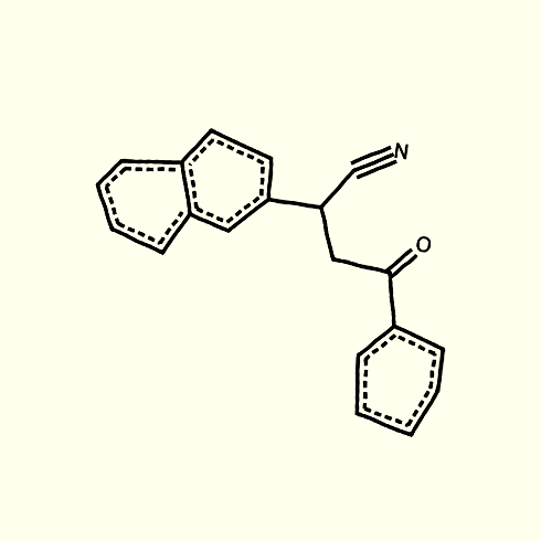 N#CC(CC(=O)c1ccccc1)c1ccc2ccccc2c1